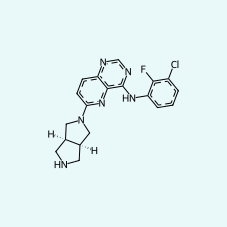 Fc1c(Cl)cccc1Nc1ncnc2ccc(N3C[C@H]4CNC[C@H]4C3)nc12